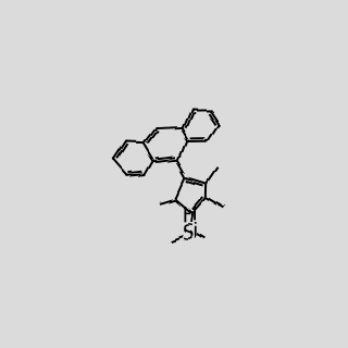 CC1=C(c2c3ccccc3cc3ccccc23)C(C)C([SiH](C)C)=C1C